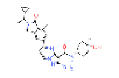 Cc1cc(-c2ccn3nc(N)c(C(=O)N[C@H]4CC[C@](C)(O)CC4)c3n2)cc2c1C(=O)N([C@@H](C)C1CC1)C2